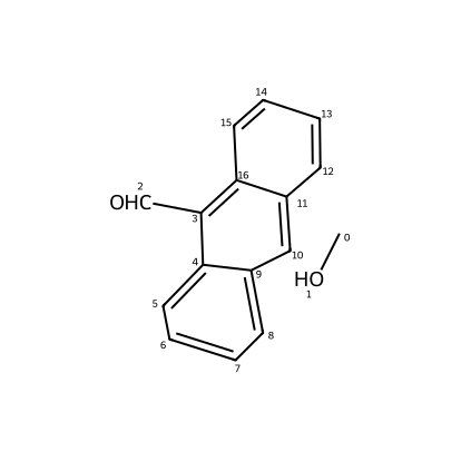 CO.O=Cc1c2ccccc2cc2ccccc12